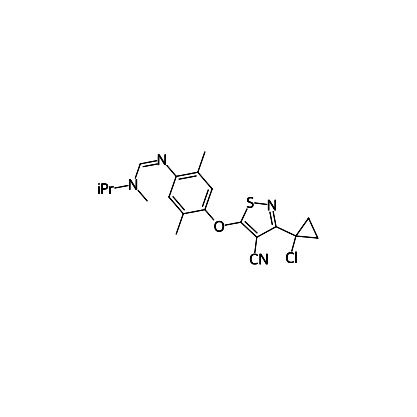 Cc1cc(Oc2snc(C3(Cl)CC3)c2C#N)c(C)cc1/N=C\N(C)C(C)C